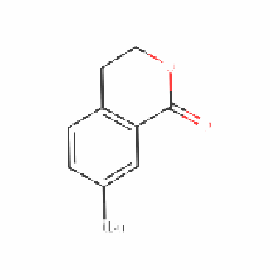 CC(C)(C)c1ccc2c(c1)C(=O)OCC2